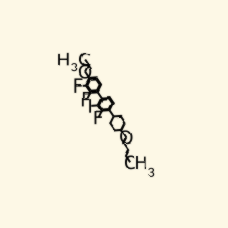 CCCCOC1CCC(c2ccc(-c3ccc(OCC)c(F)c3F)c(I)c2F)CC1